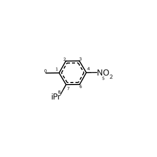 Cc1ccc([N+](=O)[O-])cc1C(C)C